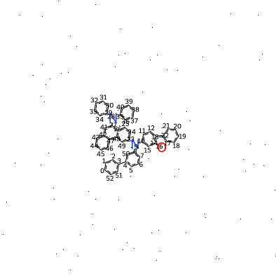 c1ccc(-c2cccc(N(c3ccc4c(c3)oc3ccccc34)c3ccc4c(N(c5ccccc5)c5ccccc5)cc5ccccc5c4c3)c2)cc1